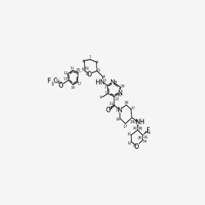 Cc1c(NCC2CCC[C@@H](c3ccc(OC(F)(F)F)cc3)O2)ncnc1C(=O)N1CCC(N[C@@H]2CCOC[C@@H]2F)CC1